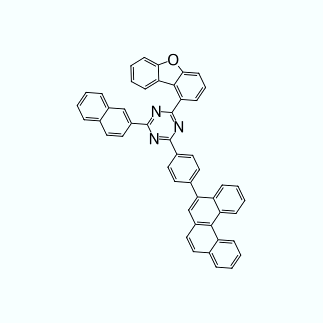 c1ccc2cc(-c3nc(-c4ccc(-c5cc6ccc7ccccc7c6c6ccccc56)cc4)nc(-c4cccc5oc6ccccc6c45)n3)ccc2c1